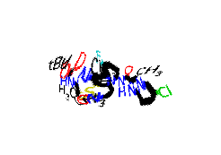 Cc1c(C(=O)Nc2ccc(F)c([C@@]3(C)N=C(NC(=O)OC(C)(C)C)C(C)(C)[S@@]4(=O)=NCCC[C@H]34)n2)nc2ccc(Cl)cn12